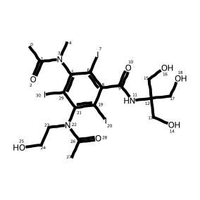 CC(=O)N(C)c1c(I)c(C(=O)NC(CO)(CO)CO)c(I)c(N(CCO)C(C)=O)c1I